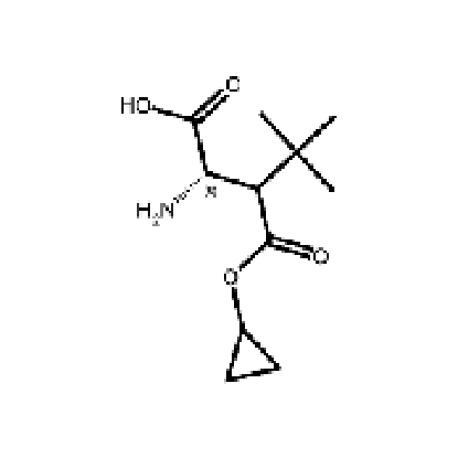 CC(C)(C)C(C(=O)OC1CC1)[C@H](N)C(=O)O